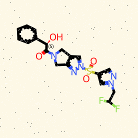 O=C([C@@H](O)c1ccccc1)N1Cc2cn(S(=O)(=O)c3cnn(CC(F)F)c3)nc2C1